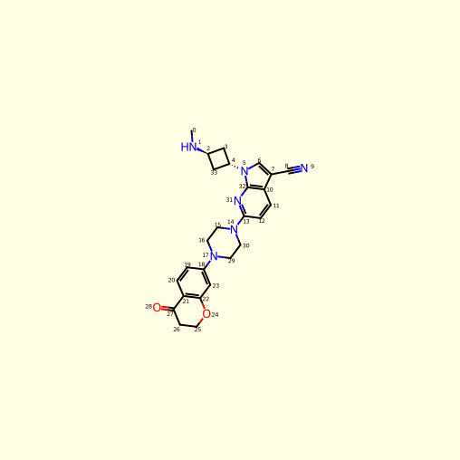 CN[C@H]1C[C@H](n2cc(C#N)c3ccc(N4CCN(c5ccc6c(c5)OCCC6=O)CC4)nc32)C1